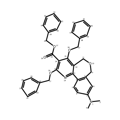 CN(C)c1ccc2c(c1)COCc1c-2nc(OCc2ccccc2)c(C(=O)OCc2ccccc2)c1OCc1ccccc1